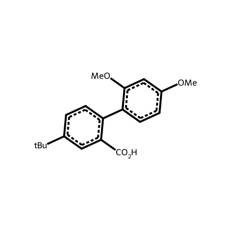 COc1ccc(-c2ccc(C(C)(C)C)cc2C(=O)O)c(OC)c1